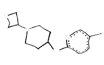 Ic1ccc(OC2CCN(C3COC3)CC2)nc1